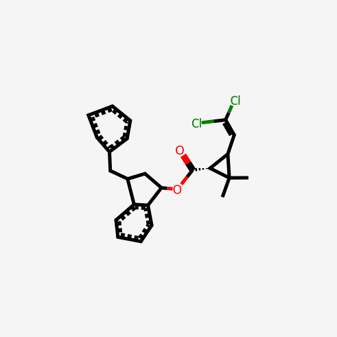 CC1(C)C(C=C(Cl)Cl)[C@H]1C(=O)OC1CC(Cc2ccccc2)c2ccccc21